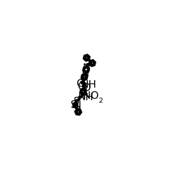 O=C(NS(=O)(=O)c1ccc(NCCSc2nc(-c3ccccc3)cs2)c([N+](=O)[O-])c1)c1ccc(N2CCN(Cc3ccccc3-c3ccccc3)CC2)cc1